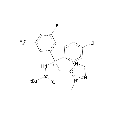 Cn1ncnc1C[C@](N[S+]([O-])C(C)(C)C)(c1cc(F)cc(C(F)(F)F)c1)c1ccc(Cl)cn1